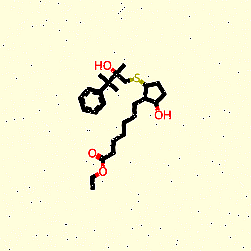 CCOC(=O)CCCCCCC1C(O)CCC1SCC(C)(O)C(C)(C)c1ccccc1